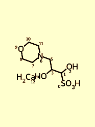 O=S(=O)(O)C(O)C(O)CN1CCOCC1.[CaH2]